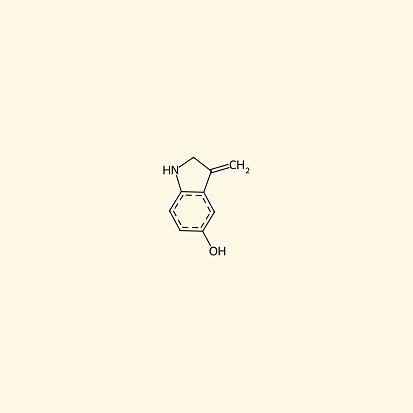 C=C1CNc2ccc(O)cc21